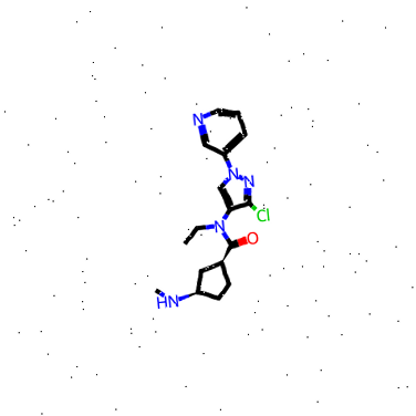 CCN(C(=O)[C@H]1CC[C@@H](NC)C1)c1cn(-c2cccnc2)nc1Cl